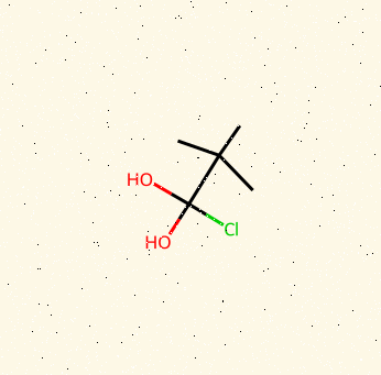 CC(C)(C)C(O)(O)Cl